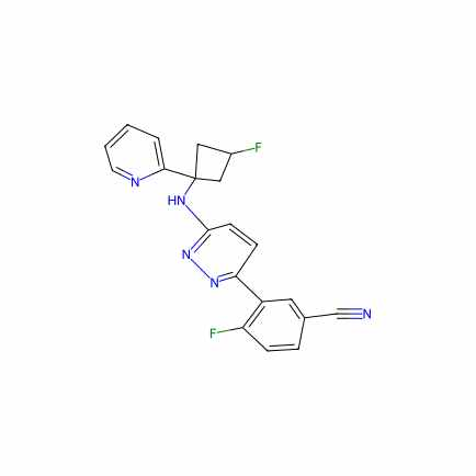 N#Cc1ccc(F)c(-c2ccc(NC3(c4ccccn4)CC(F)C3)nn2)c1